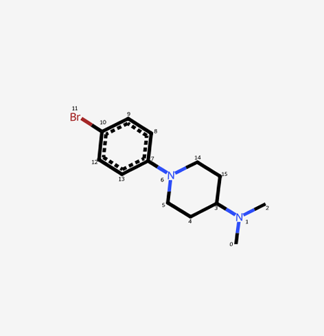 CN(C)C1CCN(c2ccc(Br)cc2)CC1